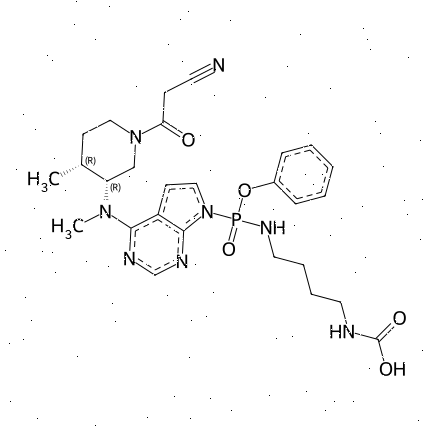 C[C@@H]1CCN(C(=O)CC#N)C[C@@H]1N(C)c1ncnc2c1ccn2P(=O)(NCCCCNC(=O)O)Oc1ccccc1